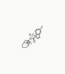 CN1C2CCCC1CC(OC(=O)[N+]1(C)C=Cc3cc(F)ccc31)C2